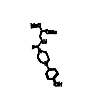 COC(CNC(=S)N1CCN(c2ccc(O)cc2)CC1)OC